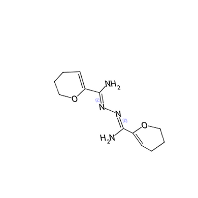 N/C(=N\N=C(/N)C1=CCCCO1)C1=CCCCO1